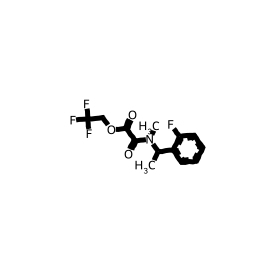 CC(c1ccccc1F)N(C)C(=O)C(=O)OCC(F)(F)F